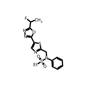 CCS(=O)(=O)N(Cc1ncc(-c2nnc(C(C)F)o2)s1)c1ccccc1